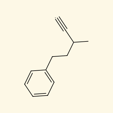 [C]#CC(C)CCc1ccccc1